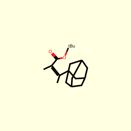 CC(C(=O)OC(C)(C)C)=C(C)C12CC3CC(CC(C3)C1)C2